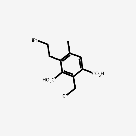 Cc1cc(C(=O)O)c(CCl)c(C(=O)O)c1CCC(C)C